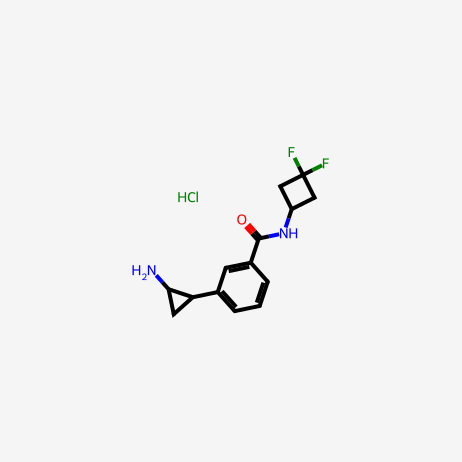 Cl.NC1CC1c1cccc(C(=O)NC2CC(F)(F)C2)c1